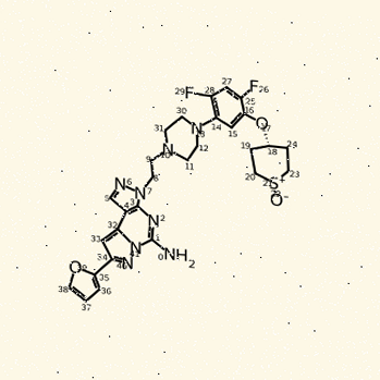 Nc1nc2c(cnn2CCN2CCN(c3cc(O[C@H]4CC[S@+]([O-])CC4)c(F)cc3F)CC2)c2cc(-c3ccco3)nn12